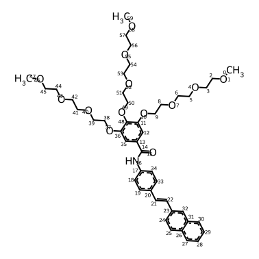 COCCOCCOCCOc1cc(C(=O)Nc2ccc(/C=C/c3ccc4ccccc4c3)cc2)cc(OCCOCCOCCOC)c1OCCOCCOCCOC